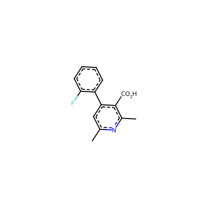 Cc1cc(-c2ccccc2F)c(C(=O)O)c(C)n1